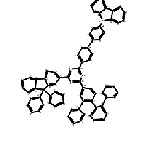 c1ccc(-c2ccccc2-c2ccc(-c3nc(-c4ccc(-c5ccc(-n6c7ccccc7c7ccccc76)cc5)cc4)nc(-c4ccc5c(c4)C(c4ccccc4)(c4ccccc4)c4ccccc4-5)n3)cc2-c2ccccc2)cc1